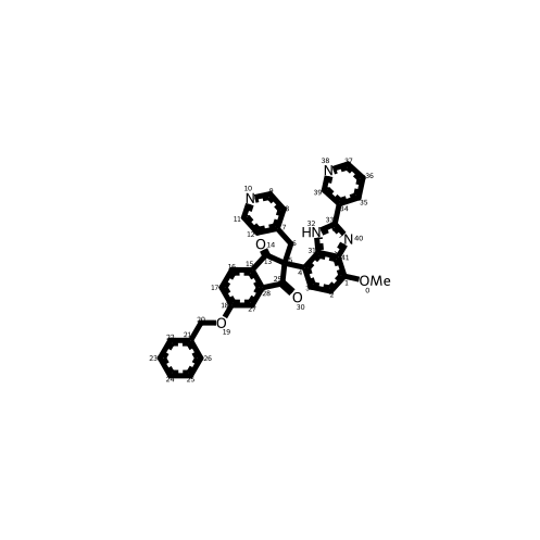 COc1ccc(C2(Cc3ccncc3)C(=O)c3ccc(OCc4ccccc4)cc3C2=O)c2[nH]c(-c3cccnc3)nc12